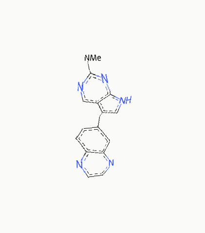 CNc1ncc2c(-c3ccc4nccnc4c3)c[nH]c2n1